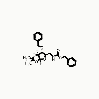 CC1(C)O[C@H]2O[C@H](CNC(=O)OCc3ccccc3)[C@H](OCc3ccccc3)[C@H]2O1